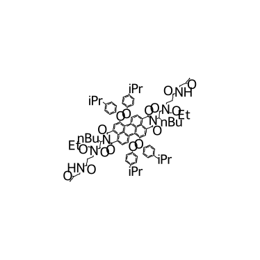 CCCCC(C(=O)N(CCC(=O)NCC1CO1)COCC)N1C(=O)c2cc(Oc3ccc(C(C)C)cc3)c3c4c(Oc5ccc(C(C)C)cc5)cc5c6c(cc(Oc7ccc(C(C)C)cc7)c(c7c(Oc8ccc(C(C)C)cc8)cc(c2c37)C1=O)c64)C(=O)N(C(CCCC)C(=O)N(CCC(=O)NCC1CO1)COCC)C5=O